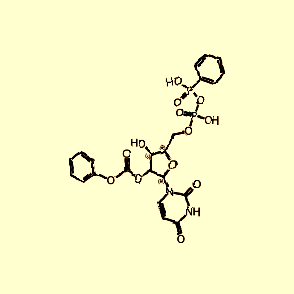 O=C(Oc1ccccc1)OC1[C@@H](O)[C@@H](COP(=O)(O)OP(=O)(O)c2ccccc2)O[C@H]1n1ccc(=O)[nH]c1=O